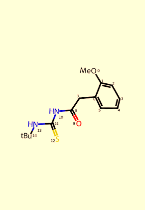 COc1ccccc1CC(=O)NC(=S)NC(C)(C)C